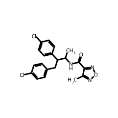 Cc1nonc1C(=O)NC(C)C(Cc1ccc(Cl)cc1)c1ccc(Cl)cc1